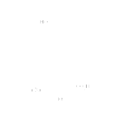 CCCCC(CC)CC(=Cc1ccc(O)cc1)C(=O)O